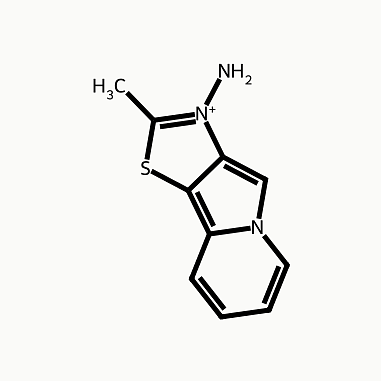 Cc1sc2c3ccccn3cc2[n+]1N